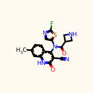 Cc1ccc2c(N(C(=O)C3CNC3)c3cnc(F)s3)c(C#N)c(=O)[nH]c2c1